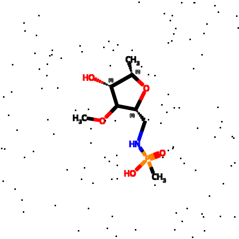 COC1[C@@H](CNP(C)(=O)O)O[C@@H](C)[C@H]1O